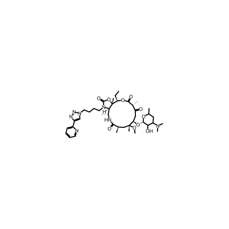 CC[C@H]1OC(=O)[C@H](C)C(=O)C[C@@H](O[C@@H]2OC(C)CC(N(C)C)C2O)[C@](C)(OC)C[C@@H](C)C(=O)N[C@H](C)[C@H]2N(CCCCn3cc(-c4ccccn4)nn3)C(=O)O[C@]12C